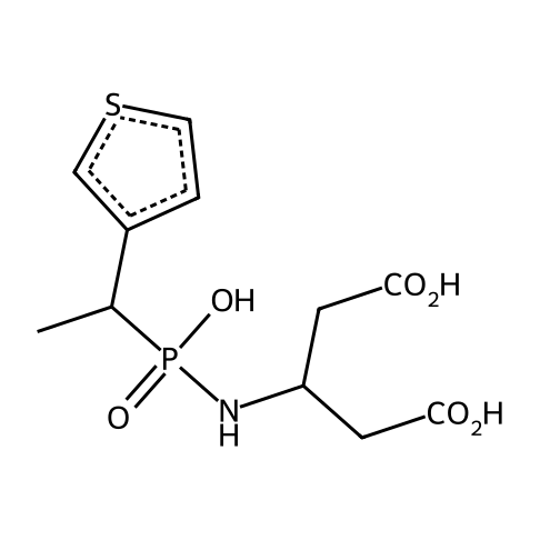 CC(c1ccsc1)P(=O)(O)NC(CC(=O)O)CC(=O)O